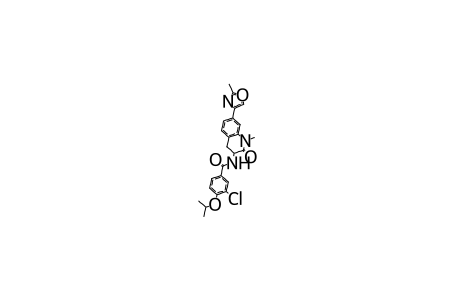 Cc1nc(-c2ccc3c(c2)N(C)C(=O)C(NC(=O)c2ccc(OC(C)C)c(Cl)c2)C3)co1